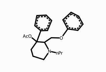 CCCN1CCCC(OC(C)=O)(c2ccccc2)C1COc1ccccc1